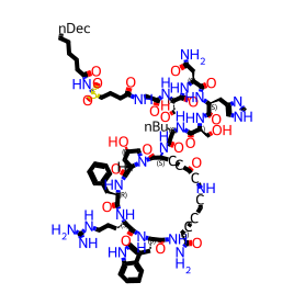 CCCCCCCCCCCCCCCC(=O)NS(=O)(=O)CCCC(=O)NCC(=O)N[C@@H](CO)C(=O)N[C@@H](CC(N)=O)C(=O)N[C@@H](Cc1c[nH]cn1)C(=O)N[C@@H](CO)C(=O)N[C@@H](CCCC)C(=O)N[C@H]1CCC(=O)CNCCCC[C@@H](C(N)=O)NC(=O)[C@H](Cc2c[nH]c3ccccc23)NC(=O)[C@H](CCCNC(=N)N)NC(=O)[C@@H](Cc2ccccc2)NC(=O)[C@@H]2C[C@@H](O)CN2C1=O